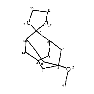 COC12CC3CC(C1)C1(OCCO1)C(C3)C2